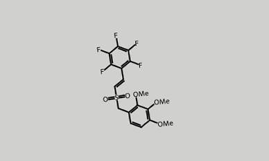 COc1ccc(CS(=O)(=O)C=Cc2c(F)c(F)c(F)c(F)c2F)c(OC)c1OC